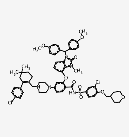 COc1ccc(C(c2ccc(OC)cc2)n2c(=O)n(C)c3c(Oc4cc(N5CCN(CC6=C(c7ccc(Cl)cc7)CC(C)(C)CC6)CC5)ccc4C(=O)NS(=O)(=O)c4ccc(OCC5CCOCC5)c(Cl)c4)cccc32)cc1